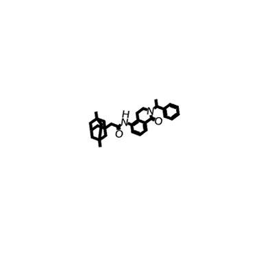 CC(c1ccccc1)N1CCc2c(NC(=O)CC34CC5CC(C)(CC(C)(C5)C3)C4)cccc2C1=O